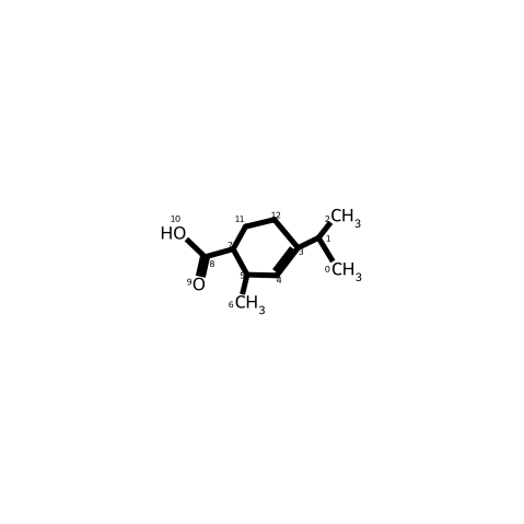 CC(C)C1=CC(C)C(C(=O)O)CC1